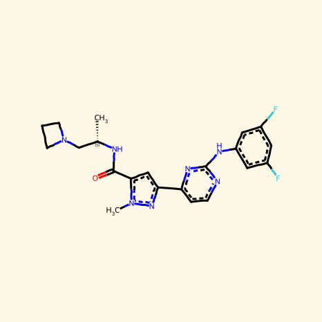 C[C@@H](CN1CCC1)NC(=O)c1cc(-c2ccnc(Nc3cc(F)cc(F)c3)n2)nn1C